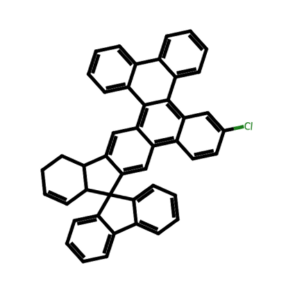 Clc1ccc2c3cc4c(cc3c3c5ccccc5c5ccccc5c3c2c1)C1CCC=CC1C41c2ccccc2-c2ccccc21